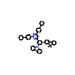 CC1(C)c2ccccc2-c2ccc(-c3cc(-c4cc(-c5ccc(-c6ccccc6)cc5)nc(-c5ccc(-c6ccccc6)cc5)n4)cc(-n4c5ccccc5c5ccccc54)c3)cc21